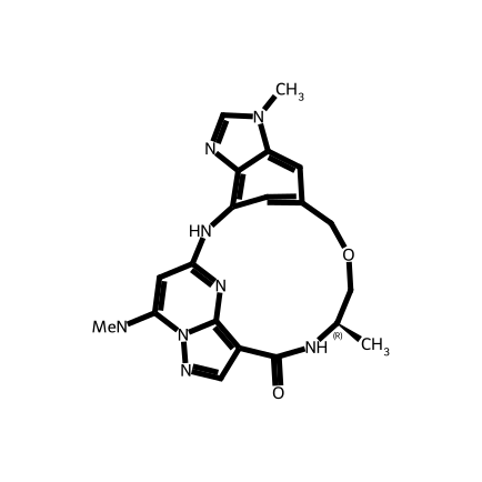 CNc1cc2nc3c(cnn13)C(=O)N[C@H](C)COCc1cc(c3ncn(C)c3c1)N2